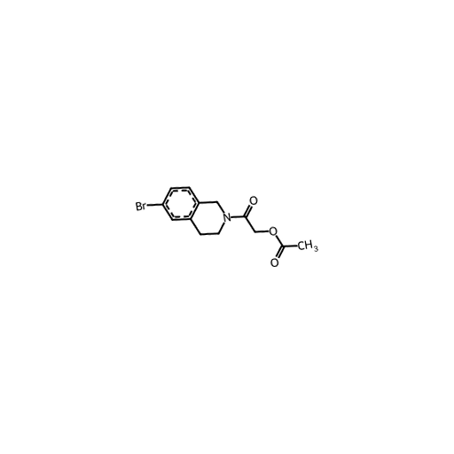 CC(=O)OCC(=O)N1CCc2cc(Br)ccc2C1